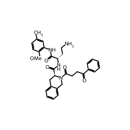 COc1ccc(C)cc1NC(=O)[C@H](CCN)NC(=O)[C@@H]1Cc2ccccc2CN1C(=O)CCC(=O)c1ccccc1